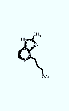 CC(=O)OCCCc1nccc2[nH]c(C)nc12